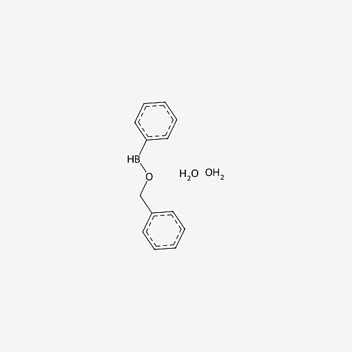 B(OCc1ccccc1)c1ccccc1.O.O